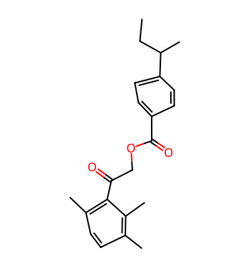 CCC(C)c1ccc(C(=O)OCC(=O)c2c(C)ccc(C)c2C)cc1